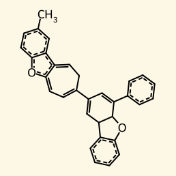 Cc1ccc2oc3c(c2c1)=CCC(C1=CC2c4ccccc4OC2C(c2ccccc2)=C1)=CC=3